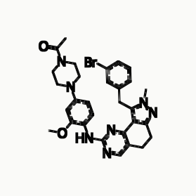 COc1cc(N2CCN(C(C)=O)CC2)ccc1Nc1ncc2c(n1)-c1c(nn(C)c1Cc1cccc(Br)c1)CC2